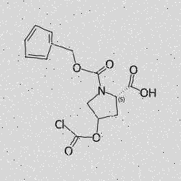 O=C(Cl)OC1C[C@@H](C(=O)O)N(C(=O)OCc2ccccc2)C1